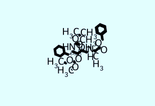 CCOC(OC)O[C@@H]([C@H](O)CNC(C)C(=O)OCc1ccccc1)[C@H](CC1CCCCC1)NC(=O)OC(C)(C)C